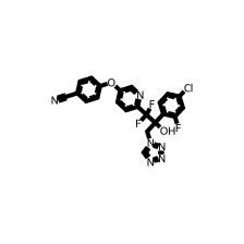 N#Cc1ccc(Oc2ccc(C(F)(F)C(O)(Cn3cnnn3)c3ccc(Cl)cc3F)nc2)cc1